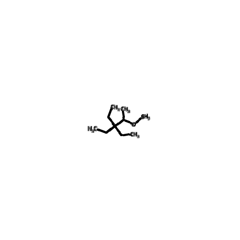 CCC(CC)(CC)C(C)O[SiH3]